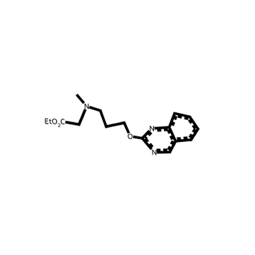 CCOC(=O)CN(C)CCCOc1ncc2ccccc2n1